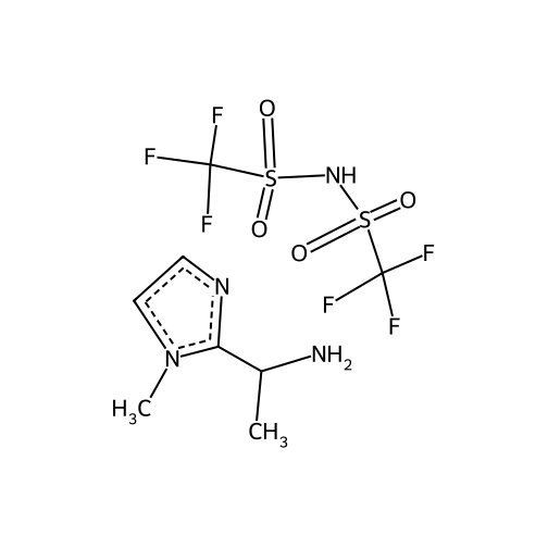 CC(N)c1nccn1C.O=S(=O)(NS(=O)(=O)C(F)(F)F)C(F)(F)F